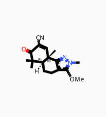 COc1c2c(nn1C)[C@@]1(C)C=C(C#N)C(=O)C(C)(C)[C@@H]1CC2